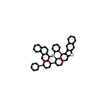 c1ccc(-c2ccc(-c3ccccc3N(c3ccccc3-c3cccc4oc5cc6ccccc6cc5c34)c3cccc4c3ccc3ccccc34)cc2)cc1